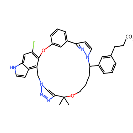 CC1(C)OCCCC(c2cccc(CCC(=O)O)c2)n2ccc(n2)-c2cccc(c2)Oc2c(F)cc3[nH]ccc3c2Cn2cc1nn2